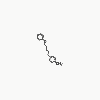 [CH2]c1ccc(CCCCCOc2ccccc2)cc1